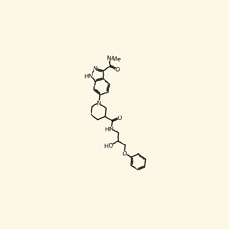 CNC(=O)c1n[nH]c2cc(N3CCCC(C(=O)NCC(O)COc4ccccc4)C3)ccc12